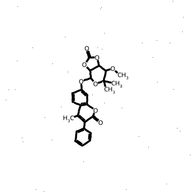 COC1C2OC(=O)OC2C(Oc2ccc3c(C)c(-c4ccccc4)c(=O)oc3c2)OC1(C)C